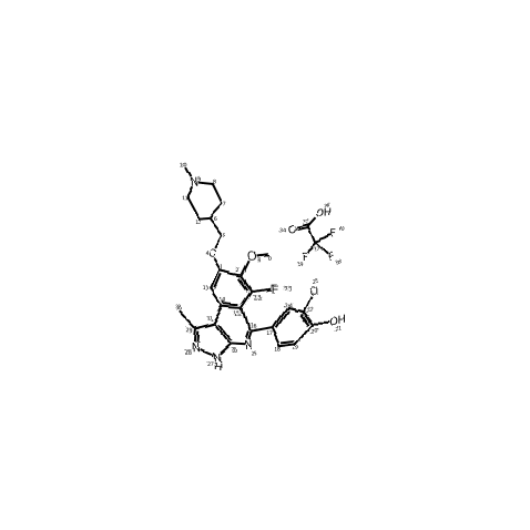 COc1c(OCC2CCN(C)CC2)cc2c(c(-c3ccc(O)c(Cl)c3)nc3[nH]nc(C)c32)c1F.O=C(O)C(F)(F)F